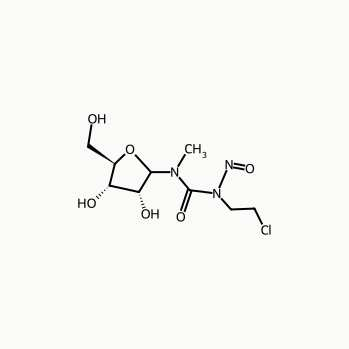 CN(C(=O)N(CCCl)N=O)C1O[C@H](CO)[C@@H](O)[C@H]1O